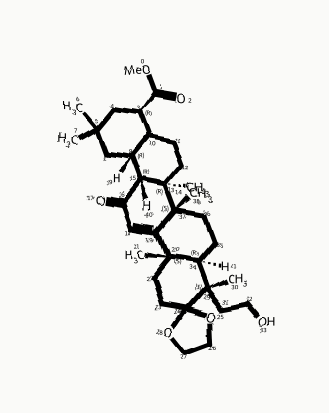 COC(=O)[C@@H]1CC(C)(C)C[C@@H]2C1CC[C@]1(C)[C@@H]2C(=O)C=C2[C@@]3(C)CCC4(OCCO4)[C@@](C)(CCO)[C@@H]3CC[C@]21C